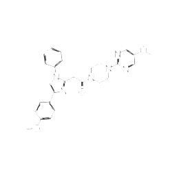 COc1ccc(-c2cn(-c3ccccc3)c(CC(=O)N3CCN(c4ncc(OC)cn4)CC3)n2)cc1